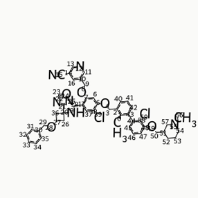 Cc1c(COc2cc(OCc3cncc(C#N)c3)c(CNC3(c4ncon4)CC(OCc4ccccc4)C3)cc2Cl)cccc1-c1cccc(OCC2CCCN(C)C2)c1Cl